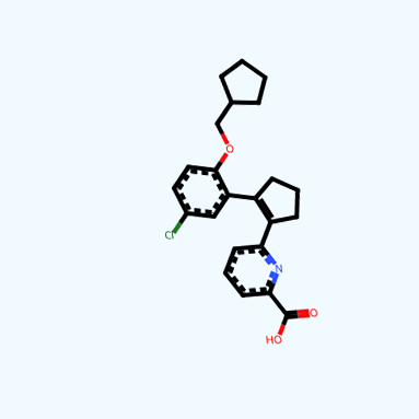 O=C(O)c1cccc(C2=C(c3cc(Cl)ccc3OCC3CCCC3)CCC2)n1